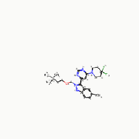 Cc1ccc2nn(COCC[Si](C)(C)C)c(-c3cc(N4CCC(F)(F)CC4)ncn3)c2c1